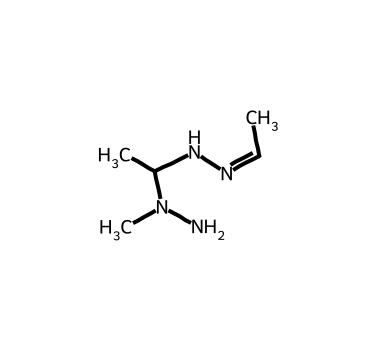 C/C=N\NC(C)N(C)N